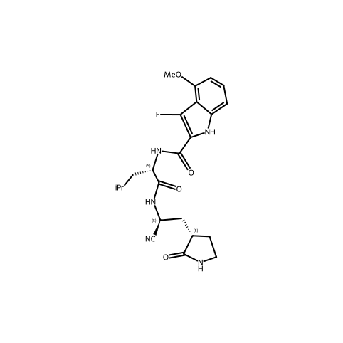 COc1cccc2[nH]c(C(=O)N[C@@H](CC(C)C)C(=O)N[C@H](C#N)C[C@@H]3CCNC3=O)c(F)c12